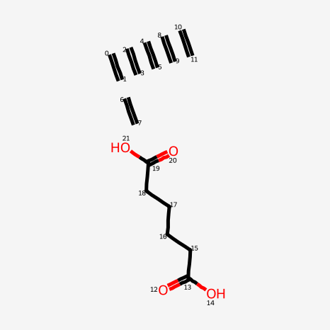 C=C.C=C.C=C.C=C.C=C.C=C.O=C(O)CCCCC(=O)O